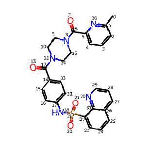 Cc1cccc(C(=O)N2CCN(C(=O)c3ccc(NS(=O)(=O)c4cccc5cccnc45)cc3)CC2)n1